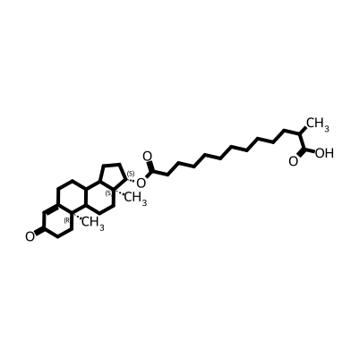 CC(CCCCCCCCCCC(=O)O[C@H]1CCC2C3CCC4=CC(=O)CC[C@]4(C)C3CC[C@@]21C)C(=O)O